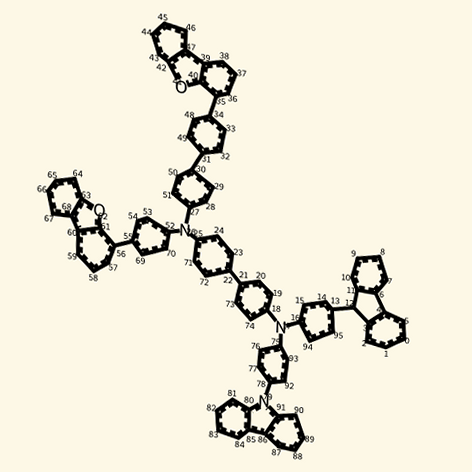 c1ccc2c(c1)-c1ccccc1C2c1ccc(N(c2ccc(-c3ccc(N(c4ccc(-c5ccc(-c6cccc7c6oc6ccccc67)cc5)cc4)c4ccc(-c5cccc6c5oc5ccccc56)cc4)cc3)cc2)c2ccc(-n3c4ccccc4c4ccccc43)cc2)cc1